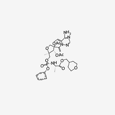 C=C(N1N=CN=C(N)/C1=C/C)[C@@]1(OC(C)=O)CO[C@](C)(CO[P@@](=O)(N[C@@H](C)C(=O)OCC2CCOCC2)Oc2ccccc2)[C@H]1OC(C)=O